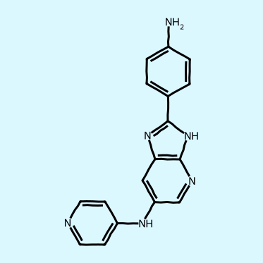 Nc1ccc(-c2nc3cc(Nc4ccncc4)cnc3[nH]2)cc1